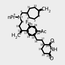 C=C1CCCC(CN(CCC)CCC(=C)c2cc(CCC3CCC(=O)NC3=O)c(C(C)=O)cc2F)CC1